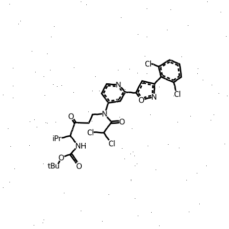 CC(C)C(NC(=O)OC(C)(C)C)C(=O)CCN(C(=O)C(Cl)Cl)c1ccnc(-c2cc(-c3c(Cl)cccc3Cl)no2)c1